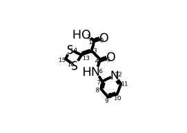 O=C(O)C(C(=O)Nc1ccccn1)=C1SCS1